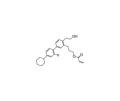 C=CC(=O)OCCCc1cc(-c2ccc(C3CCCCC3)cc2F)ccc1CCO